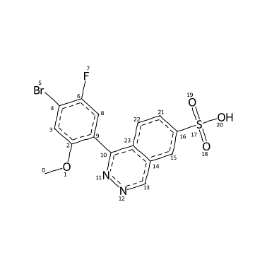 COc1cc(Br)c(F)cc1-c1nncc2cc(S(=O)(=O)O)ccc12